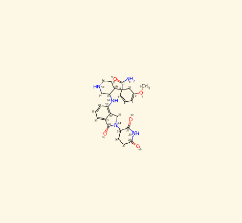 COC1=CC=CC(C(N)=O)(C2CCNCC2Nc2cccc3c2CN(C2CCC(=O)NC2=O)C3=O)C1